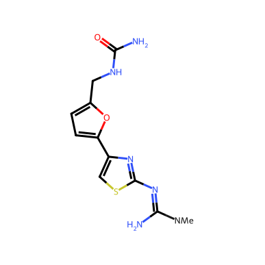 CN/C(N)=N/c1nc(-c2ccc(CNC(N)=O)o2)cs1